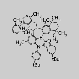 Cc1cc2c3c(c1)N(c1ccc(C(C)(C)C)cc1)c1c(oc4c1C=C(C(C)(C)C)CC4)B3c1cc3c(cc1C(Cc1cc(-c4c(C)cccc4C)ccc1C)C2C)C(C)(C)CCC3(C)C